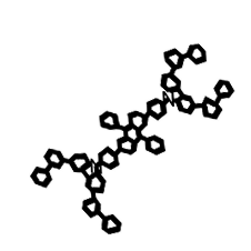 C1=CC(c2cccc(-c3ccc4c(c3)c3cc(-c5cccc(-c6ccccc6)c5)ccc3n4-c3ccc(-c4ccc5c(-c6ccccc6)c6c(c(-c7ccccc7)c5c4)=CCC(C4=CCC(n5c7ccc(-c8cccc(-c9ccccc9)c8)cc7c7cc(-c8cccc(-c9ccccc9)c8)ccc75)C=C4)C=6)cc3)c2)=CCC1